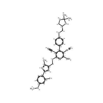 [C-]#[N+]c1c(N)nc(SCc2nc(-c3ccc(OC)cc3F)oc2C)c(C#N)c1-c1ccc(OC[C@H]2COC(C)(C)O2)cc1